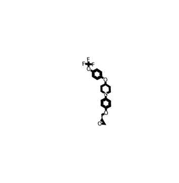 FC(F)(F)Oc1ccc(OC2CCN(c3ccc(OC[C@H]4CO4)cc3)CC2)cc1